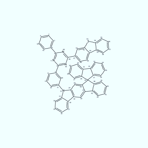 c1ccc(-c2nc(-c3cccc(-n4c5ccccc5c5cc6c(cc54)C4(c5ccccc5-c5ccccc54)c4ccccc4-6)c3)nc(-c3ccc4c(c3)sc3ccccc34)n2)cc1